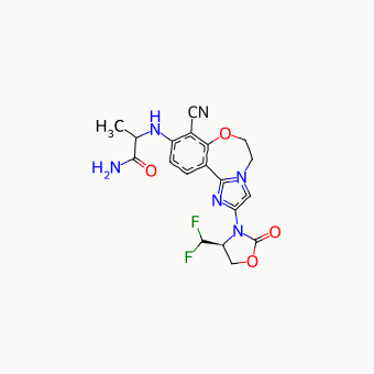 CC(Nc1ccc2c(c1C#N)OCCn1cc(N3C(=O)OC[C@H]3C(F)F)nc1-2)C(N)=O